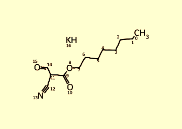 CCCCCCCCOC(=O)C(C#N)C=O.[KH]